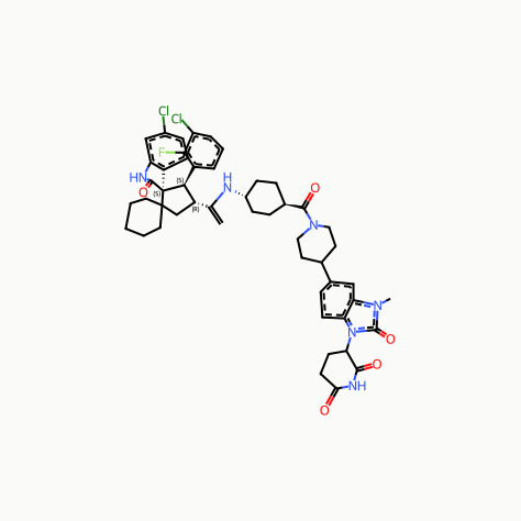 C=C(N[C@H]1CC[C@H](C(=O)N2CCC(c3ccc4c(c3)n(C)c(=O)n4C3CCC(=O)NC3=O)CC2)CC1)[C@@H]1CC2(CCCCC2)[C@@]2(C(=O)Nc3cc(Cl)ccc32)[C@H]1c1cccc(Cl)c1F